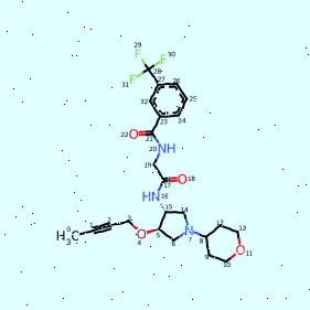 CC#CCO[C@@H]1CN(C2CCOCC2)C[C@H]1NC(=O)CNC(=O)c1cccc(C(F)(F)F)c1